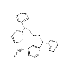 [I-].[I-].[Ni+2].c1ccc(P(CCCP(c2ccccc2)c2ccccc2)c2ccccc2)cc1